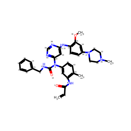 C=CC(=O)Nc1cc(N(C(=O)NCc2ccccc2)c2cc(Nc3ccc(N4CCN(C)CC4)cc3OC)ncn2)ccc1C